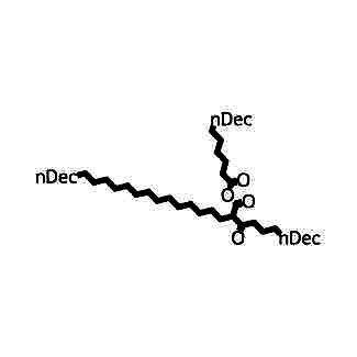 CCCCCCCCCCCCCCCCCCCCCCCCC(C(=O)CCCCCCCCCCCCC)C(=O)OC(=O)CCCCCCCCCCCCCCC